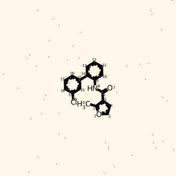 Cc1occc1C(=O)Nc1ccccc1-c1cccc(Cl)c1